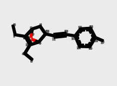 CCC1=C(CC)C2OC1CC2C#Cc1ccc(C)cc1